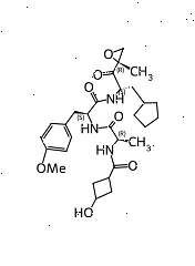 COc1ccc(C[C@H](NC(=O)[C@@H](C)NC(=O)C2CC(O)C2)C(=O)N[C@@H](CC2CCCC2)C(=O)[C@@]2(C)CO2)cc1